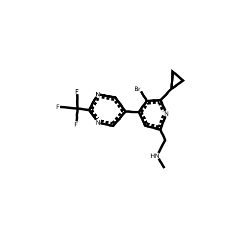 CNCc1cc(-c2cnc(C(F)(F)F)nc2)c(Br)c(C2CC2)n1